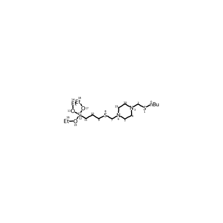 CCCCSCN1CCN(CSCCC[Si](OCC)(OCC)OCC)CC1